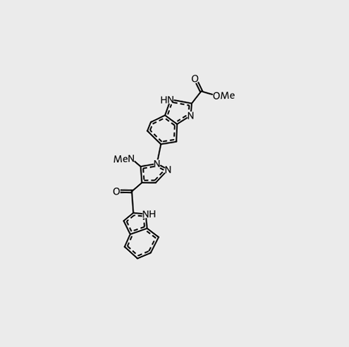 CNc1c(C(=O)c2cc3ccccc3[nH]2)cnn1-c1ccc2[nH]c(C(=O)OC)nc2c1